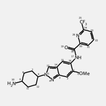 COc1cc2nn(C3CCC(N)CC3)cc2cc1NC(=O)c1cccc(C(F)(F)F)n1